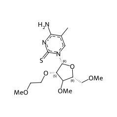 COCCO[C@H]1C(OC)[C@@H](COC)O[C@H]1n1cc(C)c(N)nc1=S